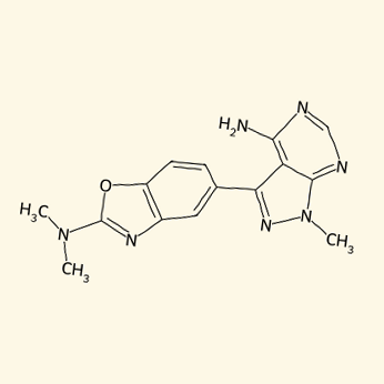 CN(C)c1nc2cc(-c3nn(C)c4ncnc(N)c34)ccc2o1